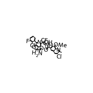 COc1cc(C(=O)NC[C@](O)(c2cc3c(c(-c4cccc(F)c4Cl)n2)OC[C@]3(C)C(N)=O)C(F)(F)F)cc2cc(Cl)c(C)nc12